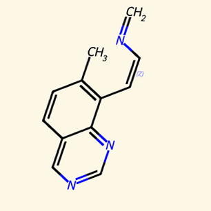 C=N/C=C\c1c(C)ccc2cncnc12